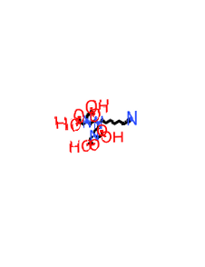 N#CCCCCCCN(CCN(CC(=O)O)CC(=O)O)CCN(CC(=O)O)CC(=O)O